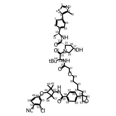 Cc1ncsc1-c1ccc([C@H](C)NC(=O)[C@@H]2C[C@@H](O)CN2C(=O)C(NC(=O)COCCCCCC2(c3ccc(C(=O)NC4C(C)(C)C(Oc5ccc(C#N)c(Cl)c5)C4(C)C)cc3)COC2)C(C)(C)C)cc1